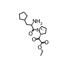 CCOC(=O)C(=O)[C@@H]1CCC[N+]1C(=O)C(N)CC1CCCC1